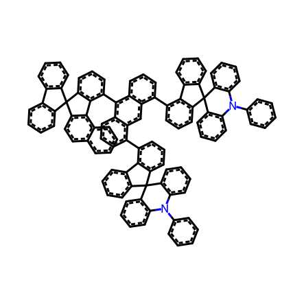 c1ccc(N2c3ccccc3C3(c4ccccc4-c4c(-c5cccc6c(-c7cccc8c7-c7c(ccc9ccccc79)C87c8ccccc8-c8ccccc87)c7cccc(-c8cccc9c8-c8ccccc8C98c9ccccc9N(c9ccccc9)c9ccccc98)c7cc56)cccc43)c3ccccc32)cc1